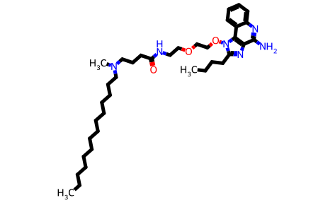 CCCCCCCCCCCCCCN(C)CCCC(=O)NCCOCCOn1c(CCCC)nc2c(N)nc3ccccc3c21